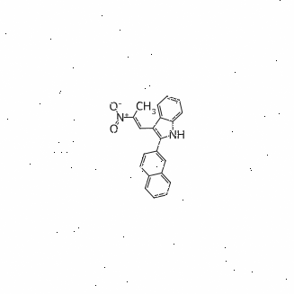 C/C(=C\c1c(-c2ccc3ccccc3c2)[nH]c2ccccc12)[N+](=O)[O-]